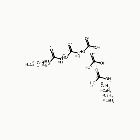 O=C(O)O.O=C(O)O.O=C(O)O.O=C(O)O.O=C(O)O.[CaH2].[CaH2].[CaH2].[CaH2].[CaH2].[CaH2].[CaH2]